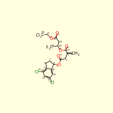 C=C(CC(=O)OC1CCc2c(Cl)cc(Cl)cc21)C(=O)OC(CC(=O)OCC(Cl)(Cl)Cl)C(F)(F)F